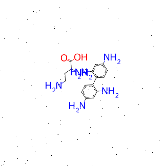 NCCC(N)C(=O)O.Nc1ccc(-c2ccc(N)cc2N)c(N)c1